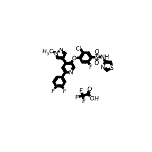 Cn1cc(-c2cc(-c3ccc(F)c(F)c3)ncc2Oc2cc(F)c(S(=O)(=O)Nc3cscn3)cc2Cl)cn1.O=C(O)C(F)(F)F